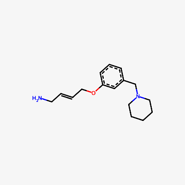 NCC=CCOc1cccc(CN2CCCCC2)c1